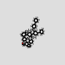 B1c2cccc3c2N(c2ccccc2C32c3ccccc3-c3ccccc32)c2c1c(-c1ccc(-c3ccccc3)cc1Nc1ccc(-c3ccccc3)cc1)cc1oc3ccccc3c21